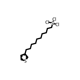 Cl[Si](Cl)(Cl)CCCCCCCCCCc1ccsc1